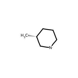 C[C@@H]1CCC[N]C1